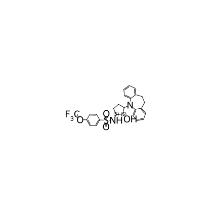 O=S(=O)(N[C@H]1CCC(N2c3ccccc3CCc3ccccc32)[C@@H]1O)c1ccc(OC(F)(F)F)cc1